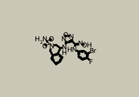 NS(=O)(=O)N1Cc2ccccc2C(Nc2nonc2/C(=N/O)Nc2ccc(F)c(Br)c2)C1